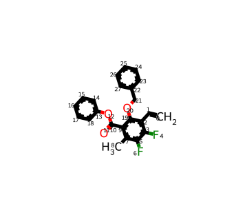 C=Cc1c(F)c(F)c(C)c(C(=O)Oc2ccccc2)c1OCc1ccccc1